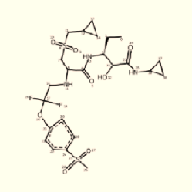 CC[C@H](NC(=O)C(CS(=O)(=O)CC1CC1)NCC(F)(F)Oc1ccc(S(C)(=O)=O)cc1)C(O)C(=O)NC1CC1